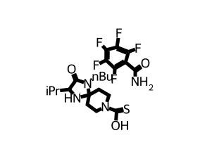 CCCCN1C(=O)C(C(C)C)NC12CCN(C(O)=S)CC2.NC(=O)c1c(F)c(F)c(F)c(F)c1F